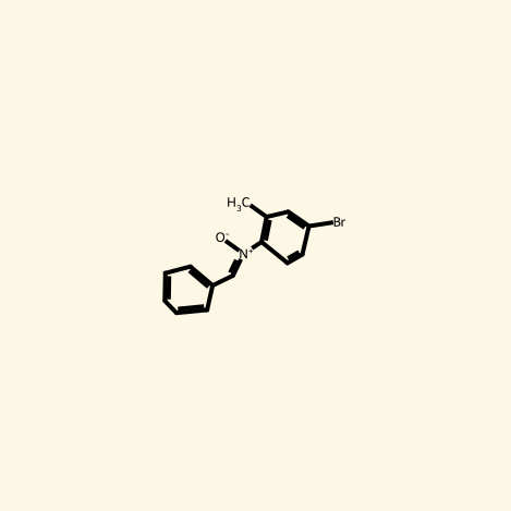 Cc1cc(Br)ccc1[N+]([O-])=Cc1ccccc1